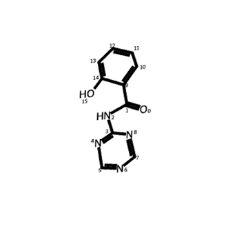 O=C(Nc1ncncn1)c1ccccc1O